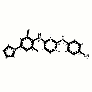 Cc1cc(-n2cccc2)cc(C)c1Nc1ccnc(Nc2ccc(C#N)cc2)n1